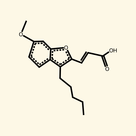 CCCCCc1c(/C=C/C(=O)O)oc2cc(OC)ccc12